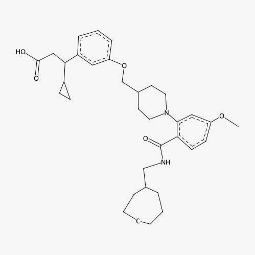 COc1ccc(C(=O)NCC2CCCCCC2)c(N2CCC(COc3cccc(C(CC(=O)O)C4CC4)c3)CC2)c1